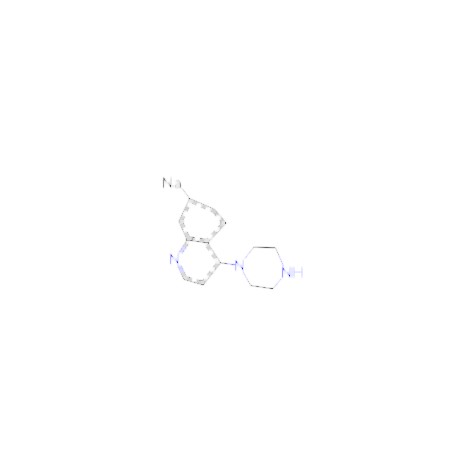 [Na][c]1ccc2c(N3CCNCC3)ccnc2c1